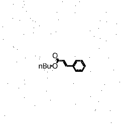 CCCCOC(=O)C=Cc1ccccc1